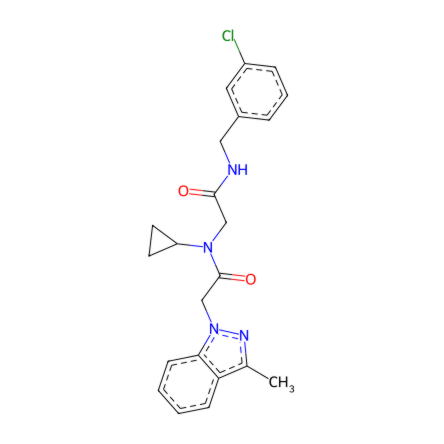 Cc1nn(CC(=O)N(CC(=O)NCc2cccc(Cl)c2)C2CC2)c2ccccc12